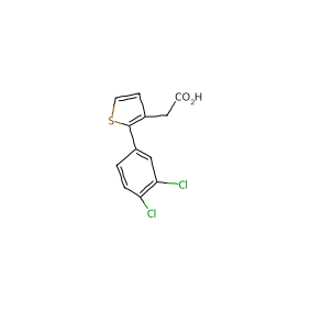 O=C(O)Cc1ccsc1-c1ccc(Cl)c(Cl)c1